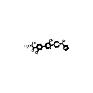 CN(C)C(=O)c1ccc(-c2cnc(N3CCN([S@@+]([O-])c4cccs4)CC3)c(C#N)c2)cc1Cl